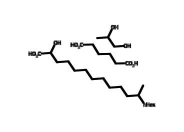 CC(O)CO.CCCCCCC(C)CCCCCCCCCC(O)C(=O)O.O=C(O)CCCCC(=O)O